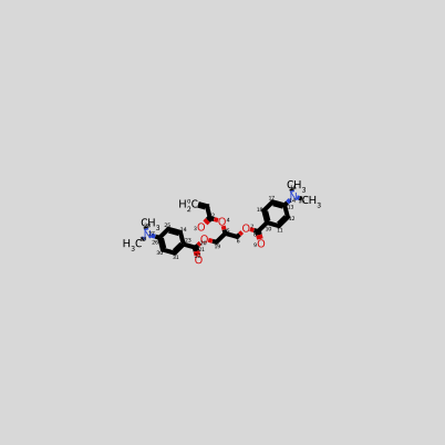 C=CC(=O)OC(COC(=O)c1ccc(N(C)C)cc1)COC(=O)c1ccc(N(C)C)cc1